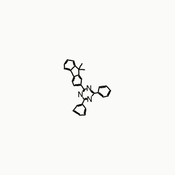 CC1(C)c2ccccc2-c2ccc(-c3nc(-c4ccccc4)nc(-c4ccccc4)n3)cc21